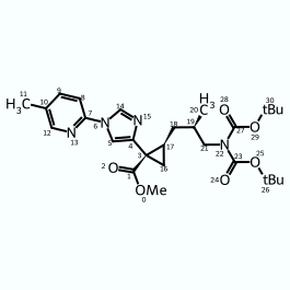 COC(=O)[C@]1(c2cn(-c3ccc(C)cn3)cn2)C[C@@H]1C[C@@H](C)CN(C(=O)OC(C)(C)C)C(=O)OC(C)(C)C